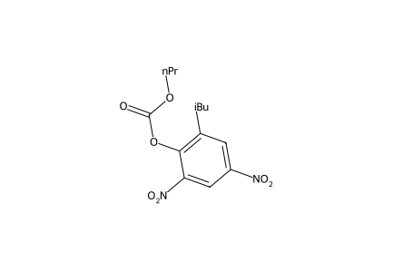 CCCOC(=O)Oc1c(C(C)CC)cc([N+](=O)[O-])cc1[N+](=O)[O-]